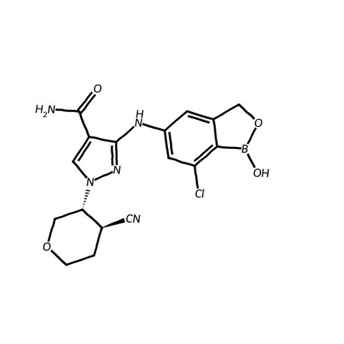 N#C[C@H]1CCOC[C@@H]1n1cc(C(N)=O)c(Nc2cc(Cl)c3c(c2)COB3O)n1